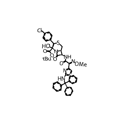 CON=C(C(=O)NC1C(=O)N2C1CSC(c1ccc(Cl)cc1)C2(O)C(=O)OC(C)(C)C)c1csc(NC(c2ccccc2)(c2ccccc2)c2ccccc2)n1